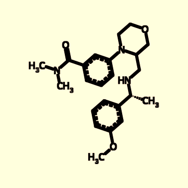 COc1cccc([C@@H](C)NCC2COCCN2c2cccc(C(=O)N(C)C)c2)c1